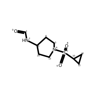 O=CNC1CCN(S(=O)(=O)C2CC2)CC1